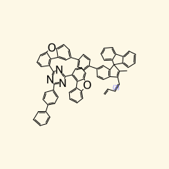 C=C/C=C\C1=C(C)C2(c3cc(-c4ccc(-c5ccc6oc7cccc(-c8nc(-c9ccc(-c%10ccccc%10)cc9)nc(-c9cccc%10oc%11ccccc%11c9%10)n8)c7c6c5)cc4)ccc31)c1ccccc1-c1ccccc12